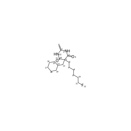 C=C1NC(=O)C(CCCCCCF)(CC2CCCCC2)C(=O)N1